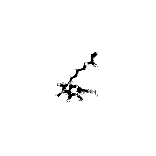 CCC(=O)OCCCC[n+]1c(Cl)n(C)c2c(=O)n(C)c(N)nc21